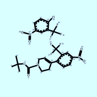 CC(C)(C)OC(=O)N1CC=C(c2ccc([N+](=O)[O-])cc2C(F)(F)F)CC1.O=[N+]([O-])c1ccc(Cl)c(C(F)(F)F)c1